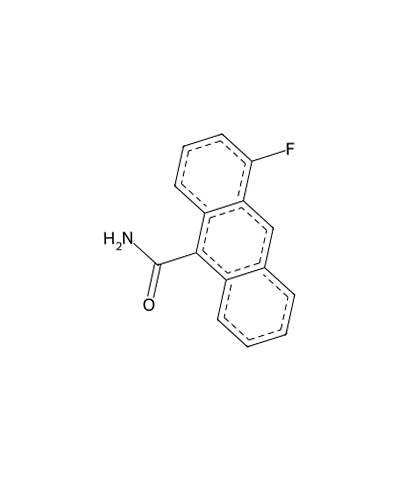 NC(=O)c1c2ccccc2cc2c(F)cccc12